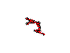 CCCCCCCCC(CCCCCCCC)OC(=O)CCCCCCCOCC(OCCCCCCCC(=O)OC(CCCCCCCC)CCCCCCCC)C(C)(C)C